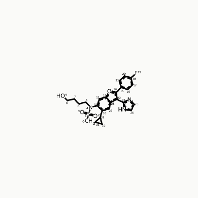 CS(=O)(=O)N(CCCCO)c1cc2oc(-c3ccc(F)cc3)c(-c3ncc[nH]3)c2cc1C1CC1